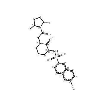 CC1CCC(C)N1C(=O)CN1CCC[C@H](NS(=O)(=O)c2ccc3cc(Cl)ccc3c2)C1=O